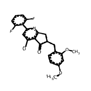 COc1ccc(CC2Cc3nc(-c4c(F)cccc4F)cc(Cl)c3C2=O)c(OC)c1